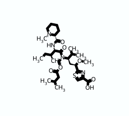 CC[C@H](C)[C@H](NC(=O)[C@H]1CCCCN1C)C(=O)N(COC(=O)CC(C)C)[C@H](C[C@@H](OC)c1nc(C(=O)O)cs1)C(C)C